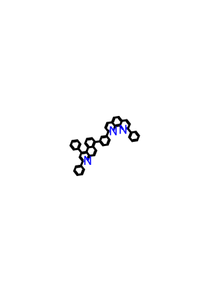 c1ccc(-c2cc(-c3ccccc3)c3c(ccc4c(-c5cccc(-c6ccc7ccc8ccc(-c9ccccc9)nc8c7n6)c5)cccc43)n2)cc1